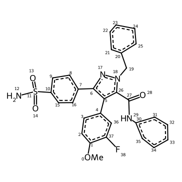 COc1ccc(-c2c(-c3ccc(S(N)(=O)=O)cc3)nn(Cc3ccccc3)c2C(=O)Nc2ccccc2)cc1F